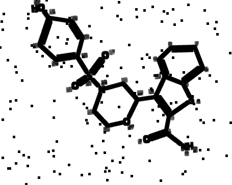 NC(=O)c1sc2ccccc2c1C1CN(S(=O)(=O)c2ccc(O)cc2)CCO1